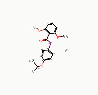 COc1cccc(OC)c1C(=O)Pc1ccc(OC(C)C)cc1.[LiH]